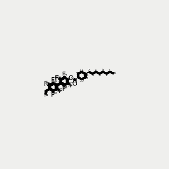 CCCCCCCC[C@H]1CC[C@H](C(=O)Oc2c(F)c(F)c(-c3c(F)c(F)c(CC)c(F)c3F)c(F)c2F)CC1